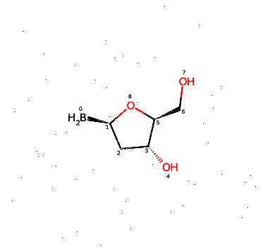 B[C@@H]1C[C@@H](O)[C@H](CO)O1